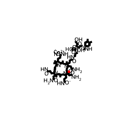 C#N.CC1=C2N=C(C=C3NC(=C(C)C4=NC(C)(C5N=C1C(C)(CCC(=O)NCC(C)OP(=O)(O)OC1C(CO)OC([n+]6c[nH]c7cc(C)c(C)cc76)C1O)C5CC(N)=O)C(C)(CC(N)=O)C4CCC(=N)[O-])C(C)(CC(N)=O)C3CCC(=N)[O-])C(C)(C)C2CCC(=N)[O-].[Co+2]